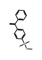 C=C(c1ccccc1)c1ccc([Si](C)(C)OC)cc1